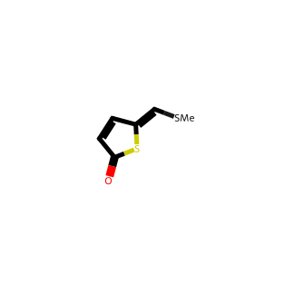 CS/C=C1/C=CC(=O)S1